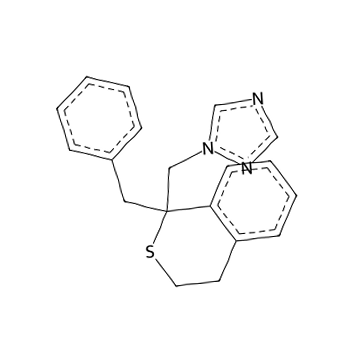 c1ccc(CC2(Cn3cncn3)SCCc3ccccc32)cc1